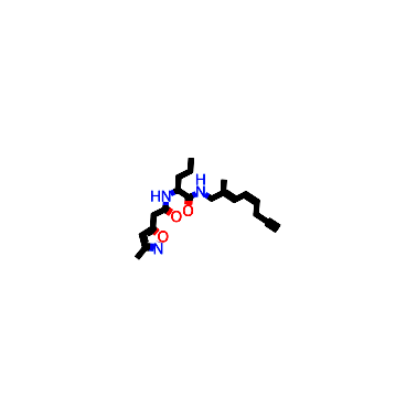 C#CC/C=C\C=C(/C)CNC(=O)C(CCC)NC(=O)Cc1cc(C)no1